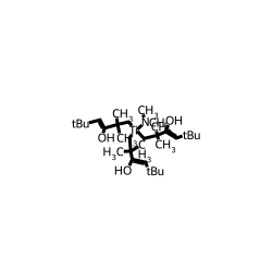 C[N](C)[Ti]([CH2]C(C)(C)C(O)=CC(C)(C)C)([CH2]C(C)(C)C(O)=CC(C)(C)C)[CH2]C(C)(C)C(O)=CC(C)(C)C